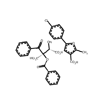 Cc1oc(-c2ccc(Cl)cc2)cc1C(=O)O.O=C(O[C@@](C(=O)O)(C(=O)c1ccccc1)[C@H](O)C(=O)O)c1ccccc1